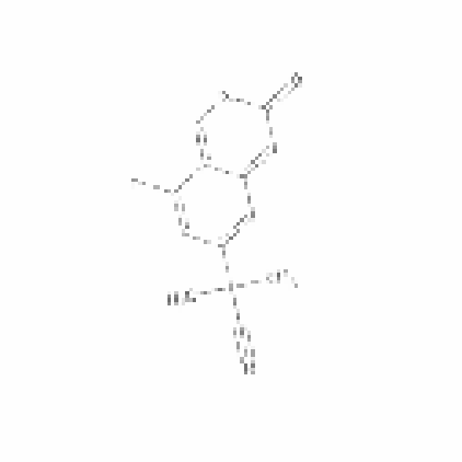 CC(C)(C#N)c1cc(F)c2c(c1)=CC(=O)[N]C=2